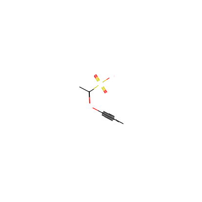 CC#COC(C)S(=O)(=O)O